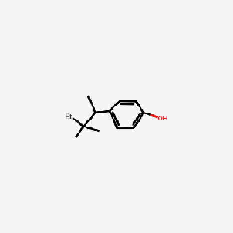 CCC(C)(C)C(C)c1ccc(O)cc1